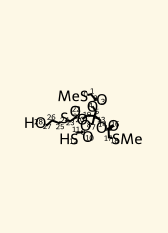 CSCC(=O)OCC(COC(=O)CS)(COC(=O)CSC)COC(=O)CSCCCO